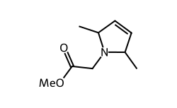 COC(=O)CN1C(C)C=CC1C